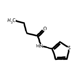 CCCC(=O)Nc1[c]csc1